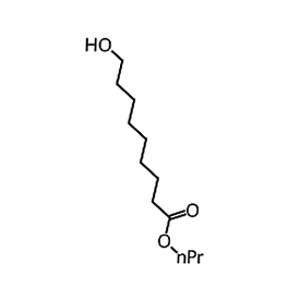 CCCOC(=O)CCCCCCCCO